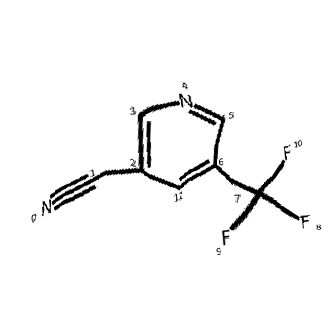 N#Cc1cn[c]c(C(F)(F)F)c1